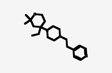 CCC1(N2CCN(CCc3ccncc3)CC2)CCOC(C)(C)C1